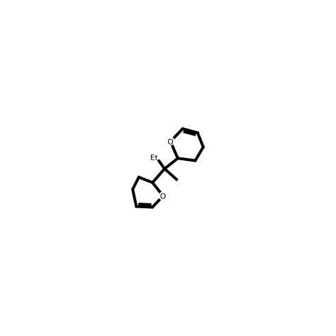 CCC(C)(C1CCC=CO1)C1CCC=CO1